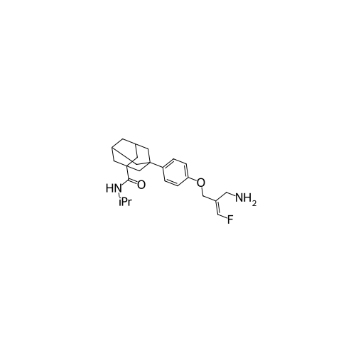 CC(C)NC(=O)C12CC3CC(C1)CC(c1ccc(OCC(=CF)CN)cc1)(C3)C2